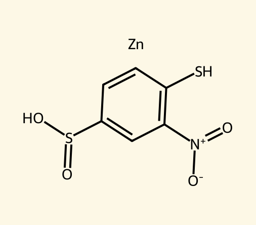 O=[N+]([O-])c1cc(S(=O)O)ccc1S.[Zn]